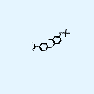 CC(C)(C)Nc1ccc(Oc2ccc(C(N)=O)cn2)c(F)c1